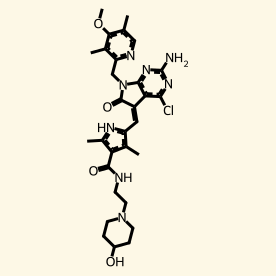 COc1c(C)cnc(CN2C(=O)/C(=C\c3[nH]c(C)c(C(=O)NCCN4CCC(O)CC4)c3C)c3c(Cl)nc(N)nc32)c1C